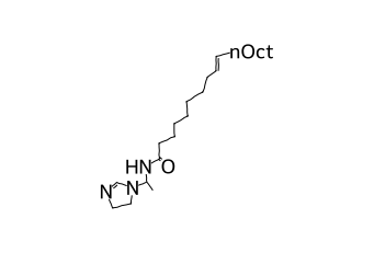 CCCCCCCCC=CCCCCCCCC(=O)NC(C)N1C=NCC1